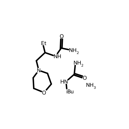 CCC(C)NC(N)=O.CCC(CN1CCOCC1)NC(N)=O.N